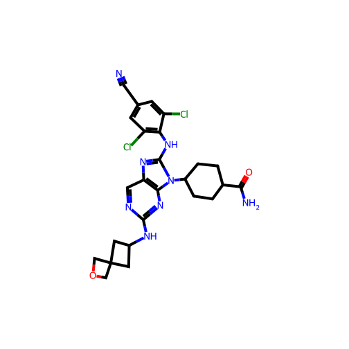 N#Cc1cc(Cl)c(Nc2nc3cnc(NC4CC5(COC5)C4)nc3n2C2CCC(C(N)=O)CC2)c(Cl)c1